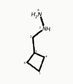 NNCC1CCC1